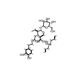 C/C=C1/[C@H](O[C@@H]2O[C@H](CO)[C@@H](O)[C@H](O)[C@H]2O)OC=C(C(=O)OC)[C@H]1CC(O)OCCc1ccc(O)c(O)c1.C=CCS[S+]([O-])CC=C